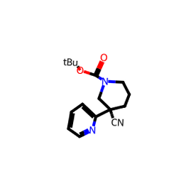 CC(C)(C)OC(=O)N1CCCC(C#N)(c2ccccn2)C1